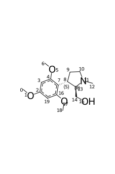 COc1cc(OC)c([C@@H]2CCN(C)[C@H]2CO)c(OC)c1